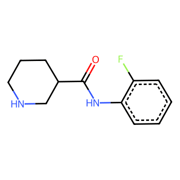 O=C(Nc1ccccc1F)C1CCCNC1